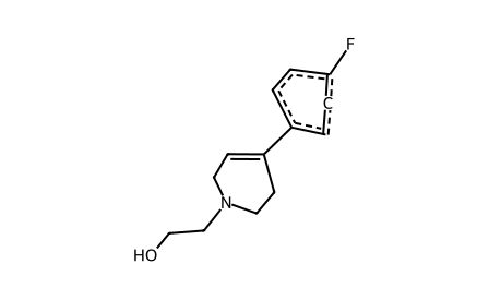 OCCN1CC=C(c2ccc(F)cc2)CC1